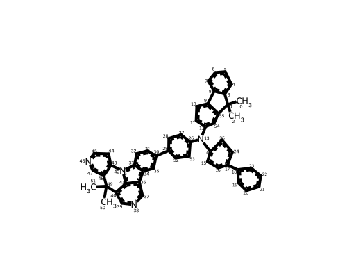 CC1(C)c2ccccc2-c2ccc(N(c3ccc(-c4ccccc4)cc3)c3ccc(-c4ccc5c(c4)c4cncc6c4n5-c4ccncc4C6(C)C)cc3)cc21